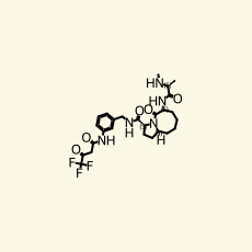 CN[C@@H](C)C(=O)N[C@H]1CCCC[C@H]2CC[C@@H](C(=O)NCc3cccc(NC(=O)CC(=O)C(F)(F)F)c3)N2C1=O